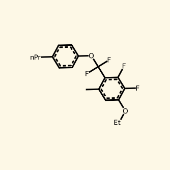 CCCc1ccc(OC(F)(F)c2c(C)cc(OCC)c(F)c2F)cc1